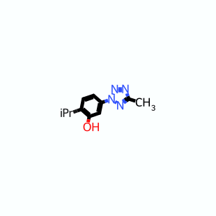 Cc1nnn(-c2ccc(C(C)C)c(O)c2)n1